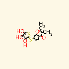 Cc1oc2cc(S[C@@H]3SC[C@@H](O)[C@H](O)[C@H]3O)ccc2c(=O)c1C